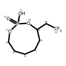 O=P1(O)OCCCCCC(CC(F)(F)F)O1